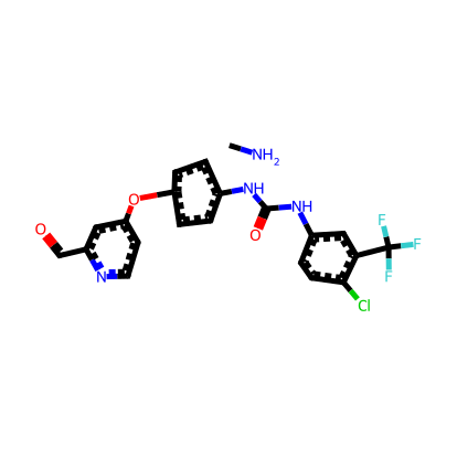 CN.O=Cc1cc(Oc2ccc(NC(=O)Nc3ccc(Cl)c(C(F)(F)F)c3)cc2)ccn1